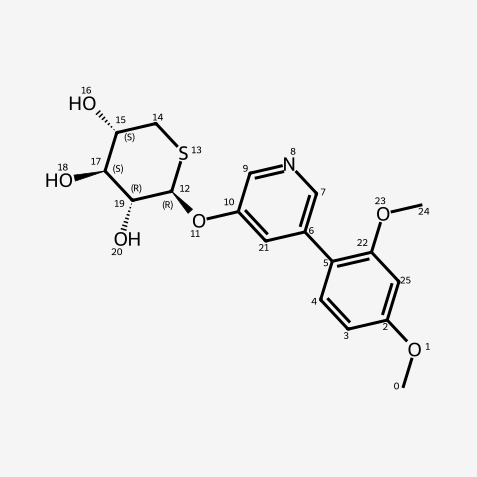 COc1ccc(-c2cncc(O[C@@H]3SC[C@@H](O)[C@H](O)[C@H]3O)c2)c(OC)c1